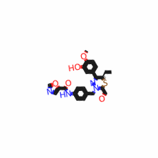 CC[C@H]1SC(C=O)N(Cc2ccc(NC(=O)c3cnco3)cc2)N=C1c1ccc(OC)c(O)c1